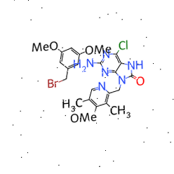 COc1c(C)cnc(Cn2c(=O)[nH]c3c(Cl)nc(N)nc32)c1C.COc1cc(CBr)cc(OC)c1